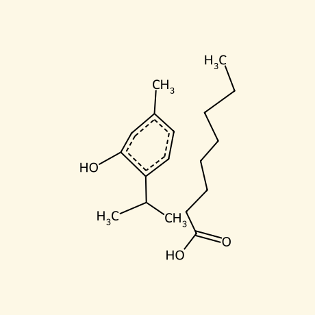 CCCCCCCC(=O)O.Cc1ccc(C(C)C)c(O)c1